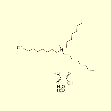 CCCCCCCC[N+](C)(CCCCCCCC)CCCCCCCC.O.O.O=C(O)C(=O)O.[Cl-]